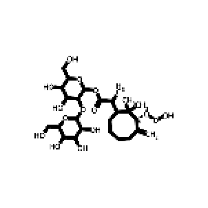 C=C1CCCCC(C(C)C(=O)OC2OC(CO)C(O)C(O)C2OC2OC(CO)C(O)C(O)C2O)C(C)(C)[C@@H]1OOO